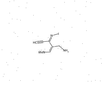 C#CC(=N/I)/C(=C\NC)CN